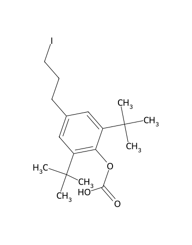 CC(C)(C)c1cc(CCCI)cc(C(C)(C)C)c1OC(=O)O